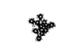 c1ccc(N(c2ccc3c(c2)C2(c4ccccc4-c4c(N(c5ccccc5)c5cccc6c5sc5ccccc56)cccc42)c2oc4ccccc4c2-3)c2ccc3oc4ccccc4c3c2)cc1